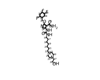 Cc1cc(F)c(COc2nsc(NC(=O)NCCCCCCCN3CCN(CCO)CC3)c2C(N)=O)cc1F